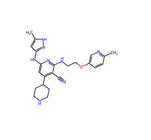 Cc1ccc(OCCNc2nc(Nc3cc(C)[nH]n3)cc(C3CCNCC3)c2C#N)cn1